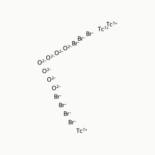 [Br-].[Br-].[Br-].[Br-].[Br-].[Br-].[Br-].[O-2].[O-2].[O-2].[O-2].[O-2].[O-2].[O-2].[Tc+7].[Tc+7].[Tc+7]